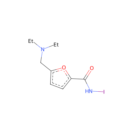 CCN(CC)Cc1ccc(C(=O)NI)o1